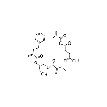 C=C(C)C(=O)OC(=O)CCC(=O)O.C=C(CC)C(=O)OCC(CO)OC(=O)C(=C)CCc1ccccc1